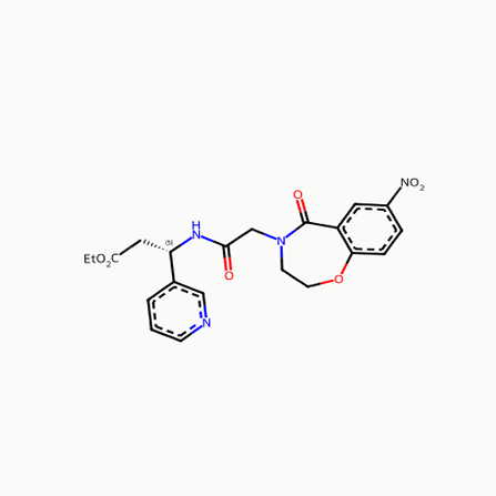 CCOC(=O)C[C@H](NC(=O)CN1CCOc2ccc([N+](=O)[O-])cc2C1=O)c1cccnc1